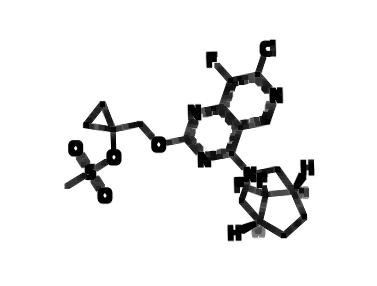 CS(=O)(=O)OC1(COc2nc(N3C[C@H]4CC[C@@H](C3)C4(F)F)c3cnc(Cl)c(F)c3n2)CC1